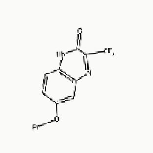 CC(C)Oc1ccc2[nH]c(=O)c(C(F)(F)F)nc2c1